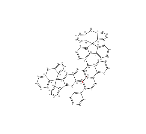 c1ccc(-c2ccc(-c3ccccc3N(c3ccc4cc5c(cc4c3)C3(c4ccccc4Sc4ccccc43)c3ccccc3-5)c3cccc4c3-c3ccccc3C43c4ccccc4Oc4ccccc43)cc2)cc1